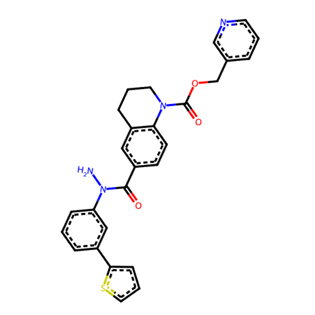 NN(C(=O)c1ccc2c(c1)CCCN2C(=O)OCc1cccnc1)c1cccc(-c2cccs2)c1